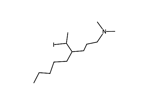 CCCCCC(CCCN(C)C)C(C)I